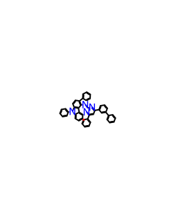 c1ccc(-c2cccc(-c3cc(-c4ccccc4)nc(-n4c5ccccc5c5ccc6c(c7ccccc7n6-c6ccccc6)c54)n3)c2)cc1